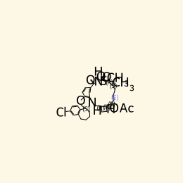 CC(=O)O[C@H]1/C=C/C[C@H](C)[C@@H](C)S(=O)(=O)NC(=O)c2ccc3c(c2)N(C[C@@H]2CC[C@H]21)C[C@@]1(CCCCc2cc(Cl)ccc21)CO3